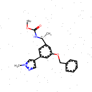 C[C@@H](NC(=O)OC(C)(C)C)c1cc(OCc2ccccc2)cc(-c2cnn(C)c2)c1